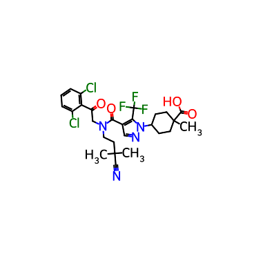 CC(C)(C#N)CCN(CC(=O)c1c(Cl)cccc1Cl)C(=O)c1cnn(C2CCC(C)(C(=O)O)CC2)c1C(F)(F)F